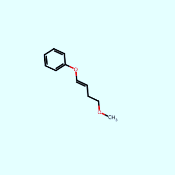 COCCC=COc1ccccc1